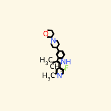 Cc1cc(-c2[nH]c3ccc(C4CCN(C5CCCOC5)CC4)cc3c2C(C)C)c(F)cn1